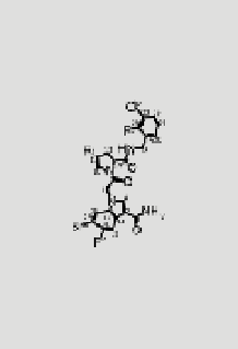 NC(=O)c1cn(CC(=O)N2C[C@H](F)C[C@H]2C(=O)NCc2cccc(Cl)c2F)c2cc(Br)c(F)cc12